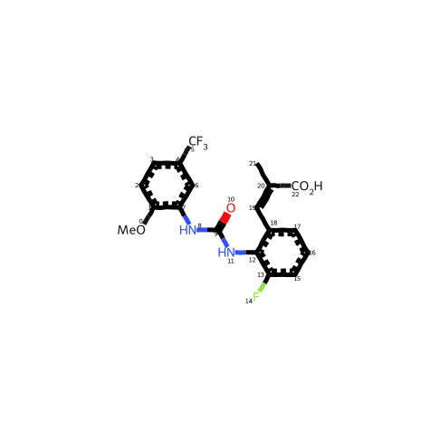 COc1ccc(C(F)(F)F)cc1NC(=O)Nc1c(F)cccc1/C=C(/C)C(=O)O